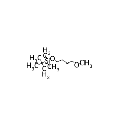 COCCCCO[Si](C)(C)C(C)(C)C